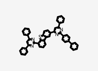 c1ccc(-c2ccc(-c3nc(-c4ccccc4)cc(-c4ccc5sc6c(-c7nc(-c8ccccc8)cc(-c8ccccc8)n7)cccc6c5c4)n3)cc2)cc1